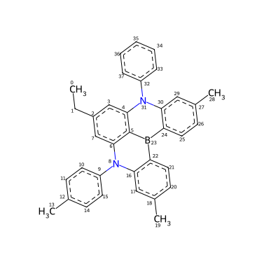 CCc1cc2c3c(c1)N(c1ccc(C)cc1)c1cc(C)ccc1B3c1ccc(C)cc1N2c1ccccc1